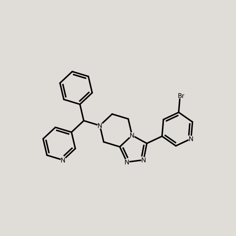 Brc1cncc(-c2nnc3n2CCN(C(c2ccccc2)c2cccnc2)C3)c1